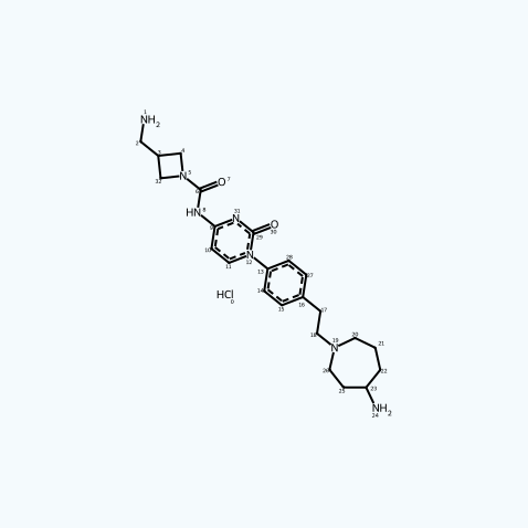 Cl.NCC1CN(C(=O)Nc2ccn(-c3ccc(CCN4CCCC(N)CC4)cc3)c(=O)n2)C1